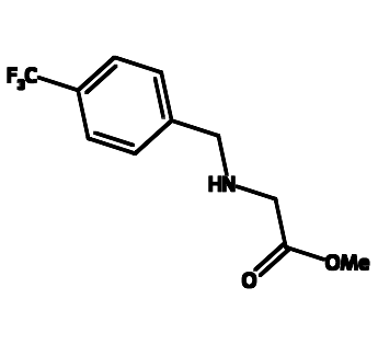 COC(=O)CNCc1ccc(C(F)(F)F)cc1